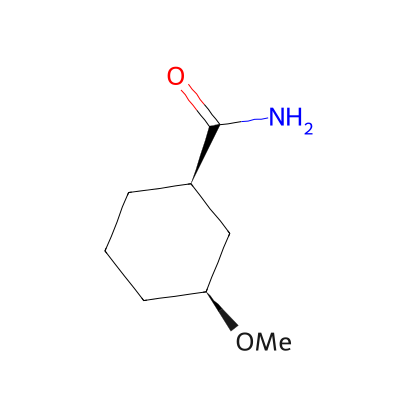 CO[C@H]1CCC[C@@H](C(N)=O)C1